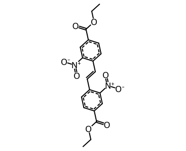 CCOC(=O)c1ccc(C=Cc2ccc(C(=O)OCC)cc2[N+](=O)[O-])c([N+](=O)[O-])c1